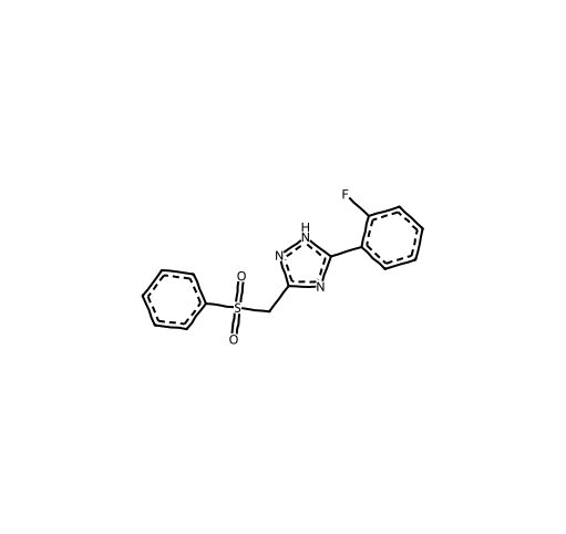 O=S(=O)(Cc1n[nH]c(-c2ccccc2F)n1)c1ccccc1